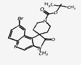 CN1C(=O)C2(CCN(C(=O)OC(C)(C)C)CC2)c2c1cnc1ccc(Br)cc21